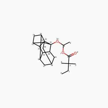 CCC(C)(C)C(=O)OC(C)OC12CC3CC4C5CC6CC1C5C3C42C6